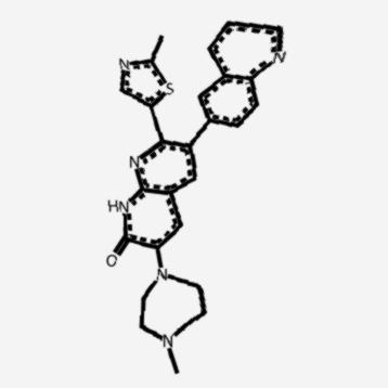 Cc1ncc(-c2nc3[nH]c(=O)c(N4CCN(C)CC4)cc3cc2-c2ccc3ncccc3c2)s1